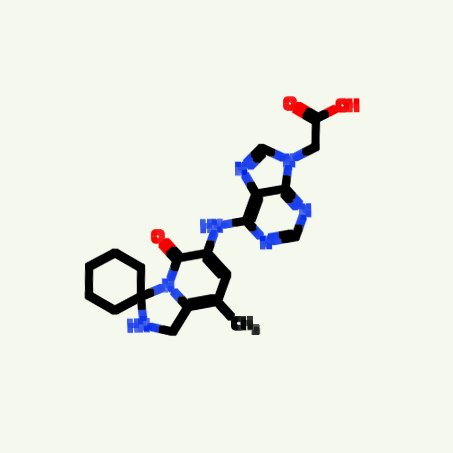 Cc1cc(Nc2ncnc3c2ncn3CC(=O)O)c(=O)n2c1CNC21CCCCC1